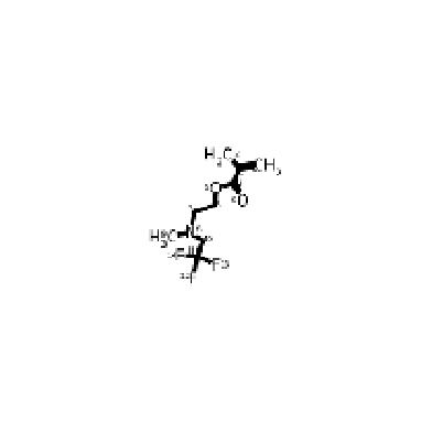 C=C(C)C(=O)OCCN(C)CC(F)(F)F